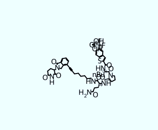 CCCC[C@H](NC(=O)c1cc2cc(C(F)(F)P(=O)(O)O)ccc2s1)C(=O)N1CCC[C@H]1C(=O)N[C@@H](CCC(N)=O)C(=O)NCCCCCCC#Cc1cccc2c1CN(C1CCC(=O)NC1=O)C2=O